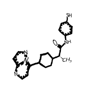 C[C@@H](C(=O)Nc1ccc(S)cc1)C1CCC(c2ccnc3ccnn23)CC1